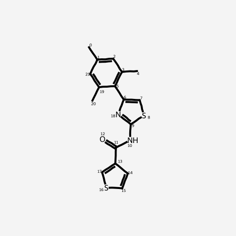 Cc1cc(C)c(-c2csc(NC(=O)c3ccsc3)n2)c(C)c1